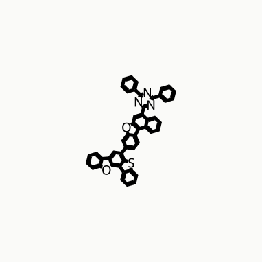 c1ccc(-c2nc(-c3ccccc3)nc(-c3cc4oc5cc(-c6cc7c8ccccc8oc7c7c6sc6ccccc67)ccc5c4c4ccccc34)n2)cc1